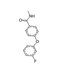 CNC(=O)c1ccc(Oc2cccc(F)c2)cc1